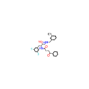 CCc1cccc(CNCC(O)C(Cc2cc(F)cc(F)c2)NC(=O)CCC(=O)c2ccccc2)c1